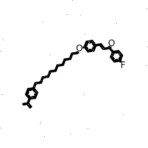 C=C(C)c1ccc(CCCCCCCCCCCCOc2ccc(C=CC(=O)c3ccc(F)cc3)cc2)cc1